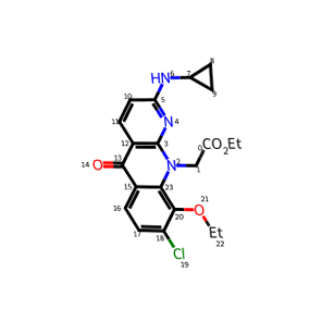 CCOC(=O)Cn1c2nc(NC3CC3)ccc2c(=O)c2ccc(Cl)c(OCC)c21